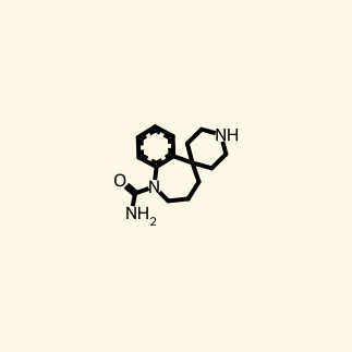 NC(=O)N1CCCC2(CCNCC2)c2ccccc21